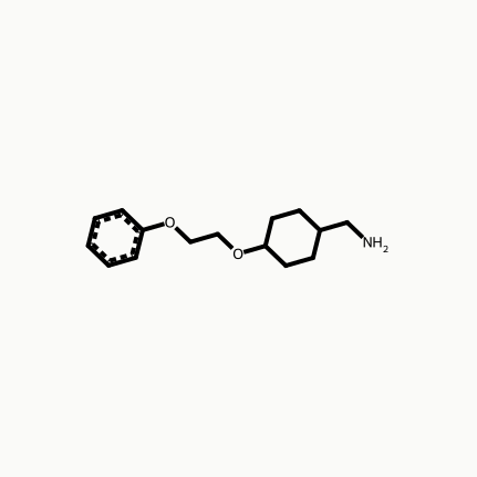 NCC1CCC(OCCOc2ccccc2)CC1